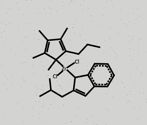 CCCC1=C(C)C(C)=C(C)[C]1(C)[Zr]([Cl])([Cl])[CH]1C(CC(C)C)=Cc2ccccc21